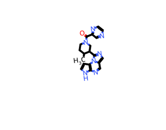 CC1CCN(C(=O)c2cnccn2)CC1c1ncc2cnc3[nH]ccc3n12